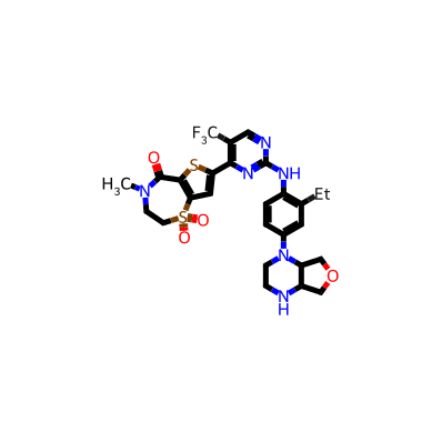 CCc1cc(N2CCNC3COCC32)ccc1Nc1ncc(C(F)(F)F)c(-c2cc3c(s2)C(=O)N(C)CCS3(=O)=O)n1